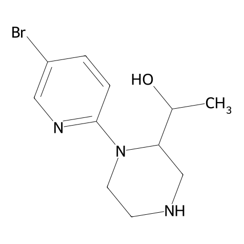 CC(O)C1CNCCN1c1ccc(Br)cn1